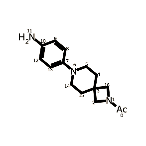 CC(=O)N1CC2(CCN(c3ccc(N)cc3)CC2)C1